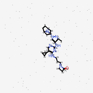 Cc1nn(C2CC3CCC(C2)N3C)cc1Nc1ncc(C2CC2)c(NCCCN2CCC2=O)n1